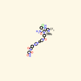 COc1cc(C(=O)N2CCC3(CC2)CC(N2CCN(c4ccc5c(c4)CN(C4CCC(=O)NC4=O)C5=O)CC2)C3)ccc1N1[C@@H](CC(C)(C)C)[C@@]2(CNc3cc(C(F)(F)F)ncc32)[C@@H](c2cccc(Cl)c2F)[C@@H]1C(N)=O